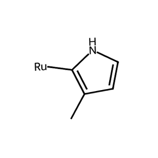 Cc1cc[nH][c]1[Ru]